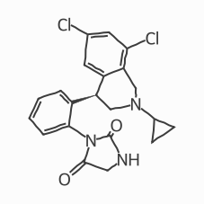 O=C1CNC(=O)N1c1ccccc1[C@@H]1CN(C2CC2)Cc2c(Cl)cc(Cl)cc21